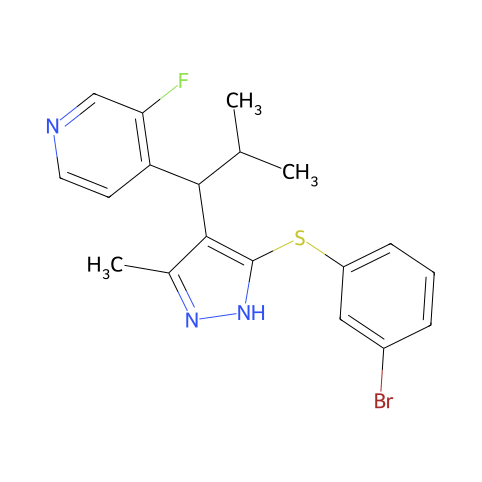 Cc1n[nH]c(Sc2cccc(Br)c2)c1C(c1ccncc1F)C(C)C